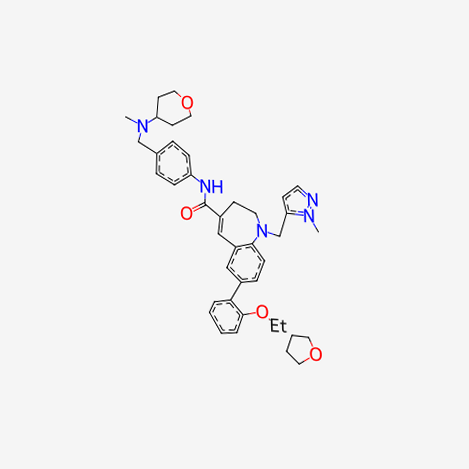 C1CCOC1.CCOc1ccccc1-c1ccc2c(c1)C=C(C(=O)Nc1ccc(CN(C)C3CCOCC3)cc1)CCN2Cc1ccnn1C